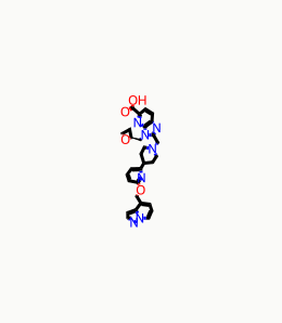 O=C(O)c1ccc2nc(CN3CCC(c4cccc(OCc5cccn6nccc56)n4)CC3)n(C[C@@H]3CCO3)c2n1